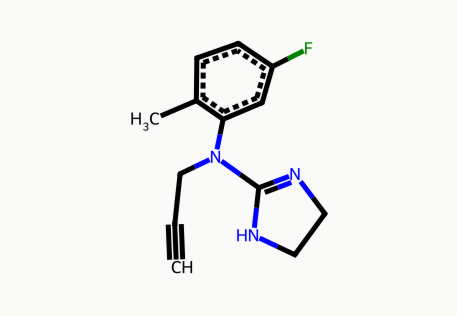 C#CCN(C1=NCCN1)c1cc(F)ccc1C